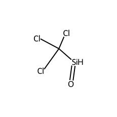 O=[SiH]C(Cl)(Cl)Cl